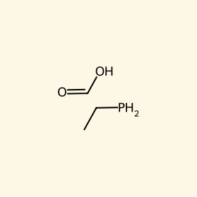 CCP.O=CO